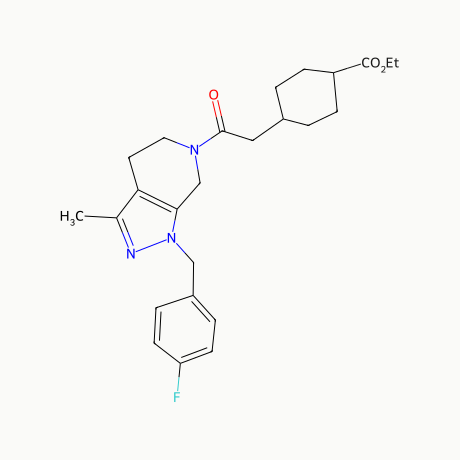 CCOC(=O)C1CCC(CC(=O)N2CCc3c(C)nn(Cc4ccc(F)cc4)c3C2)CC1